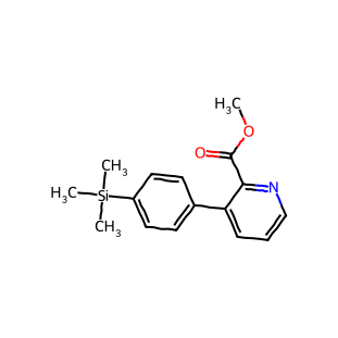 COC(=O)c1ncccc1-c1ccc([Si](C)(C)C)cc1